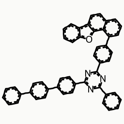 c1ccc(-c2ccc(-c3ccc(-c4nc(-c5ccccc5)nc(-c5ccc(-c6cccc7ccc8c9ccccc9oc8c67)cc5)n4)cc3)cc2)cc1